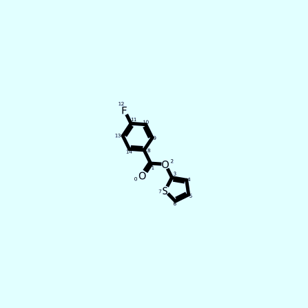 O=C(Oc1cccs1)c1ccc(F)cc1